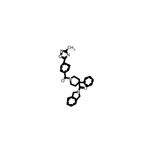 Cc1noc(-c2ccc(C(=O)N3CCC(C(=O)N4Cc5ccccc5C4)(c4ccccc4)CC3)cc2)n1